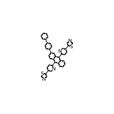 c1ccc(-c2ccc(-c3ccc4c(-c5ccc(-c6cncs6)cn5)c5ccccc5c(-c5ccc(-c6cncs6)cn5)c4c3)cc2)cc1